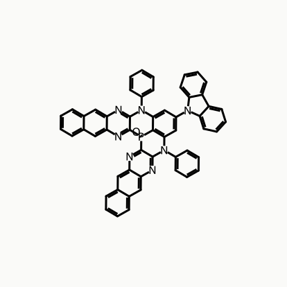 O=P12c3nc4cc5ccccc5cc4nc3N(c3ccccc3)c3cc(-n4c5ccccc5c5ccccc54)cc(c31)N(c1ccccc1)c1nc3cc4ccccc4cc3nc12